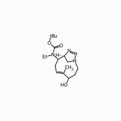 CCN(C(=O)OC(C)(C)C)C1C/C=C(\C)C(O)CCN2C[C@@H]1N=N2